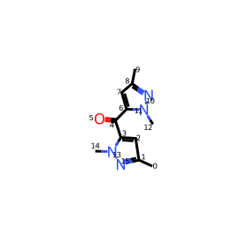 Cc1cc(C(=O)c2cc(C)nn2C)n(C)n1